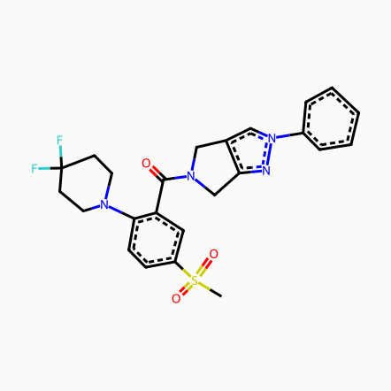 CS(=O)(=O)c1ccc(N2CCC(F)(F)CC2)c(C(=O)N2Cc3cn(-c4ccccc4)nc3C2)c1